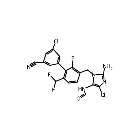 N#Cc1cc(Cl)cc(-c2c(C(F)F)ccc(Cn3c(N)nc(Cl)c3NC=O)c2F)c1